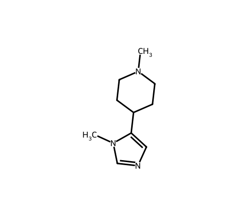 CN1CCC(c2cncn2C)CC1